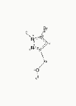 COCc1cc(Br)n(C)n1